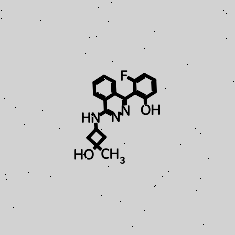 CC1(O)CC(Nc2nnc(-c3c(O)cccc3F)c3ccccc23)C1